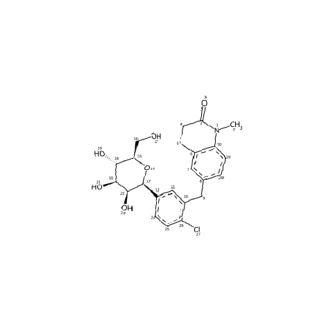 CN1C(=O)CCc2cc(Cc3cc([C@@H]4O[C@H](CO)[C@@H](O)[C@H](O)[C@@H]4O)ccc3Cl)ccc21